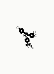 CS(=O)(=O)c1ccc(-n2nc(-c3ccc(Cl)cc3)cc2-c2ccc(Cl)c(Cl)c2)cc1